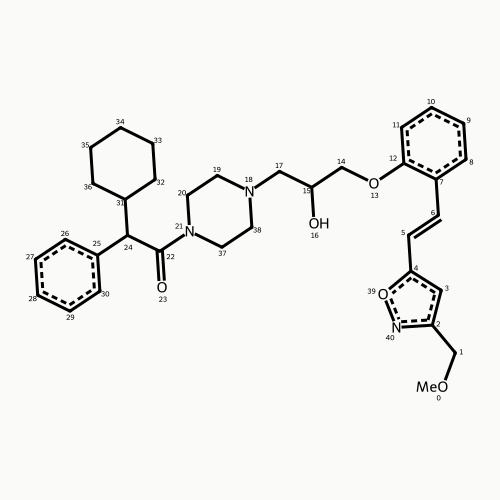 COCc1cc(C=Cc2ccccc2OCC(O)CN2CCN(C(=O)C(c3ccccc3)C3CCCCC3)CC2)on1